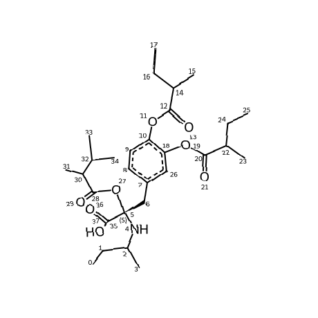 CCC(C)N[C@@](Cc1ccc(OC(=O)C(C)CC)c(OC(=O)C(C)CC)c1)(OC(=O)C(C)C(C)C)C(=O)O